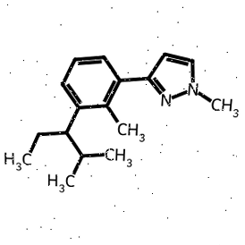 CCC(c1cccc(-c2ccn(C)n2)c1C)C(C)C